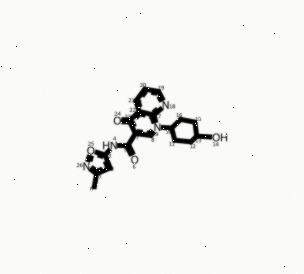 Cc1cc(NC(=O)c2cn(C3CCC(O)CC3)c3ncccc3c2=O)on1